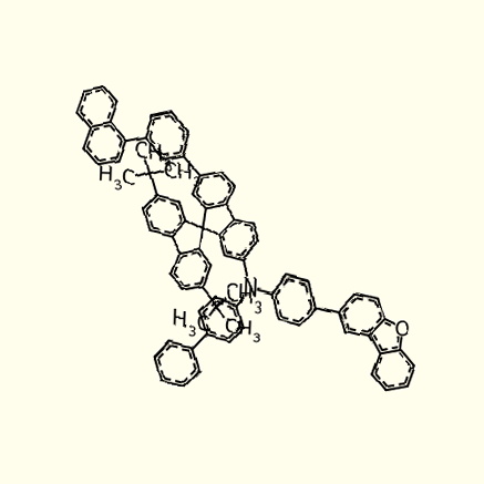 CC(C)(C)c1ccc2c(c1)C1(c3cc(-c4cccc(-c5cccc6ccccc56)c4)ccc3-c3ccc(N(c4ccc(-c5ccccc5)cc4)c4ccc(-c5ccc6oc7ccccc7c6c5)cc4)cc31)c1cc(C(C)(C)C)ccc1-2